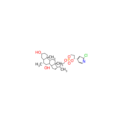 C[C@H](CCO[P@]1(=O)OCC[C@H](c2ccnc(Cl)c2)O1)[C@H]1CCC2C3C(CC[C@@]21C)[C@@]1(C)CC[C@@H](O)CC1[C@@H](C)[C@H]3O